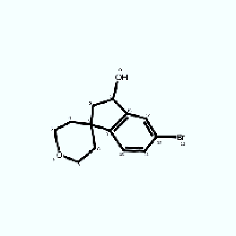 OC1CC2(CCOCC2)c2ccc(Br)cc21